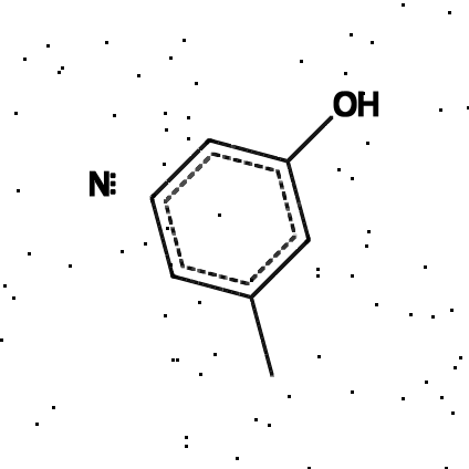 Cc1cccc(O)c1.[N]